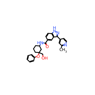 Cc1cc(-c2n[nH]c3ccc(C(=O)NC4CCCC(CO)(Oc5ccccc5)C4)cc23)ccn1